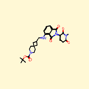 CN1C(=O)CCC(N2C(=O)c3cccc(NCC4CC5(CCN(C(=O)OC(C)(C)C)CC5)C4)c3C2=O)C1=O